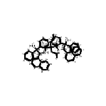 CCCC(CCC)(C(=O)N[C@@H](c1cccc2ccccc12)C(O)(c1ccccc1)c1ccccc1)C(=O)N[C@@H](c1cccc2ccccc12)C(O)(c1ccccc1)c1ccccc1